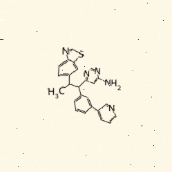 CC(c1ccc2ncsc2c1)C(c1cccc(-c2cccnc2)c1)c1cc(N)ncn1